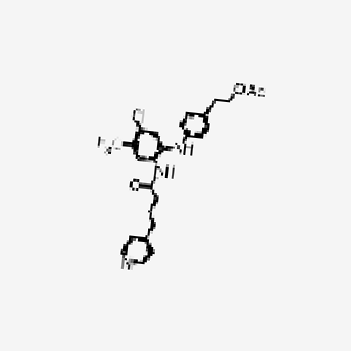 CC(=O)OCCc1ccc(Nc2cc(Cl)c(C(F)(F)F)cc2NC(=O)CCCc2ccncc2)cc1